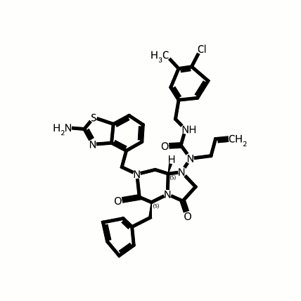 C=CCN(C(=O)NCc1ccc(Cl)c(C)c1)N1CC(=O)N2[C@@H](Cc3ccccc3)C(=O)N(Cc3cccc4sc(N)nc34)C[C@@H]21